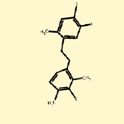 Cc1cc(I)c(I)cc1CCc1ccc(C)c(I)c1C